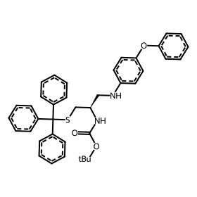 CC(C)(C)OC(=O)N[C@H](CNc1ccc(Oc2ccccc2)cc1)CSC(c1ccccc1)(c1ccccc1)c1ccccc1